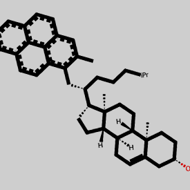 Cc1cc2ccc3cccc4ccc(c1C[C@H](CCCC(C)C)[C@H]1CC[C@H]5[C@@H]6CC=C7C[C@@H](O)CC[C@]7(C)[C@H]6CC[C@]15C)c2c34